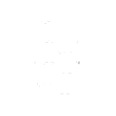 C=C1c2c(C)cccc2NC(C(C)C)N1c1ccccc1